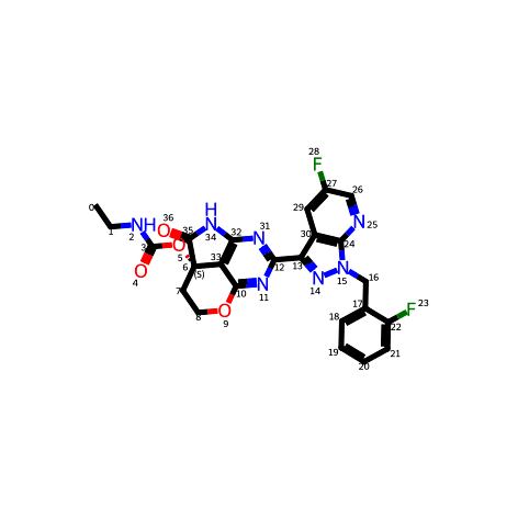 CCNC(=O)O[C@@]12CCOc3nc(-c4nn(Cc5ccccc5F)c5ncc(F)cc45)nc(c31)NC2=O